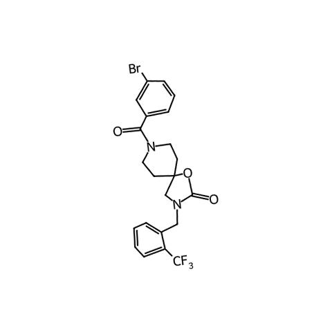 O=C1OC2(CCN(C(=O)c3cccc(Br)c3)CC2)CN1Cc1ccccc1C(F)(F)F